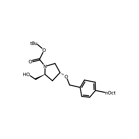 CCCCCCCCc1ccc(CO[C@@H]2C[C@@H](CO)N(C(=O)OC(C)(C)C)C2)cc1